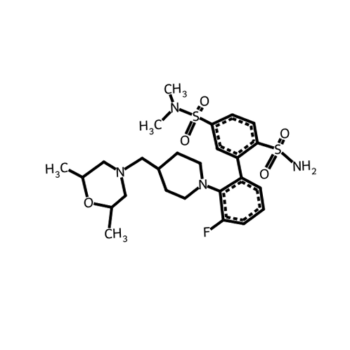 CC1CN(CC2CCN(c3c(F)cccc3-c3cc(S(=O)(=O)N(C)C)ccc3S(N)(=O)=O)CC2)CC(C)O1